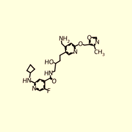 Cc1ncoc1COc1cc(CN)c(CC[C@H](O)CNC(=O)c2cc(NC3CCC3)ncc2F)cn1